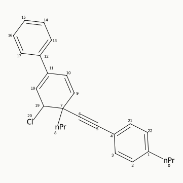 CCCc1ccc(C#CC2(CCC)C=CC(c3ccccc3)=CC2Cl)cc1